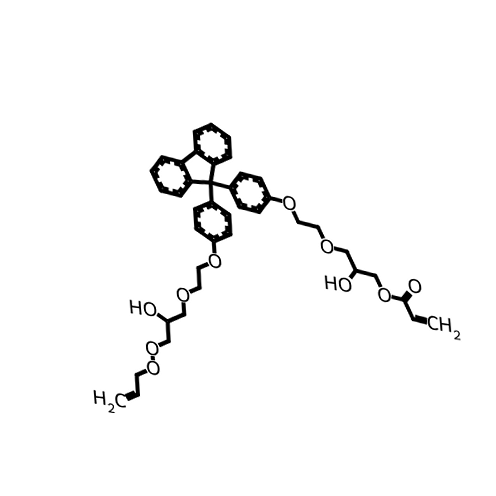 C=CCOOCC(O)COCCOc1ccc(C2(c3ccc(OCCOCC(O)COC(=O)C=C)cc3)c3ccccc3-c3ccccc32)cc1